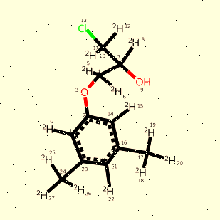 [2H]c1c(OC([2H])([2H])C([2H])(O)C([2H])([2H])Cl)c([2H])c(C([2H])([2H])[2H])c([2H])c1C([2H])([2H])[2H]